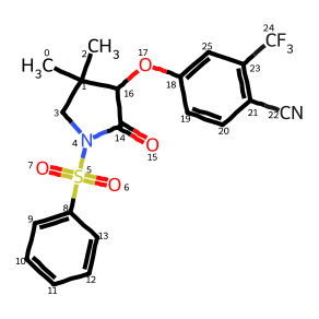 CC1(C)CN(S(=O)(=O)c2ccccc2)C(=O)C1Oc1ccc(C#N)c(C(F)(F)F)c1